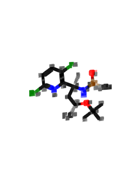 CC(C)(C)[S@@+]([O-])N[C@@](C)(C[C@H](O[Si](C)(C)C)C(F)(F)F)c1nc(Br)ccc1F